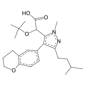 CC(C)CCc1nn(C)c(C(OC(C)(C)C)C(=O)O)c1-c1ccc2c(c1)CCCO2